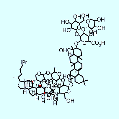 CC(C)CCC[C@@H](C)[C@H]1CC[C@H]2[C@@H]3CC[C@H]4C[C@@H](OC(=O)N[C@H]5C(CO)O[C@@H](OC(=O)[C@]67CCC(C)(C)CC6C6=CCC8C9(C)CC[C@H](O[C@@H]%10OC(C(=O)O)[C@@H](O)[C@H](O[C@@H]%11OC[C@@H](O)[C@H](O)C%11O)C%10O[C@@H]%10OC(CO)[C@H](O)[C@H](O)C%10O)[C@](C)(C=O)[C@@H]9CCC8(C)[C@]6(C)CC7O)C(O[C@@H]6OC(C)[C@H](O[C@@H]7OC[C@@H](O)C(O[C@@H]8OC[C@@](O)(CO)C8O)C7O)C(O)C6O)C5O)CC[C@]4(C)[C@H]3CC[C@]12C